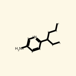 CCCC(CC)c1ccc(N)cn1